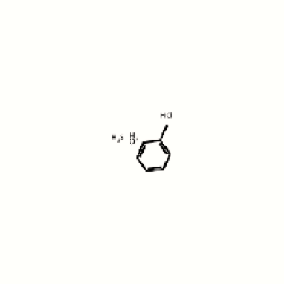 Cc1ccccc1.Cl.O.S